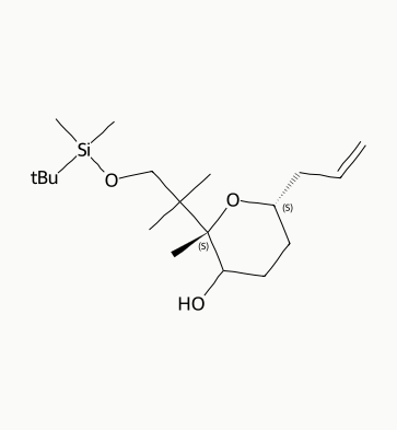 C=CC[C@@H]1CCC(O)[C@](C)(C(C)(C)CO[Si](C)(C)C(C)(C)C)O1